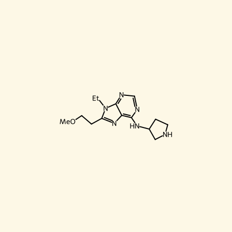 CCn1c(CCOC)nc2c(NC3CCNC3)ncnc21